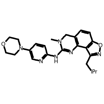 CC(C)Cc1noc2ccc3c(c12)N=C(Nc1ccc(N2CCOCC2)cn1)N(C)C3